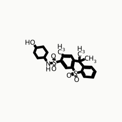 Cc1cc2c(cc1S(=O)(=O)NC1CCC(O)CC1)S(=O)(=O)c1ccccc1C2(C)C